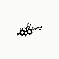 COCCOC1=CC=CC(N)(c2ccc(I)cc2F)C1N